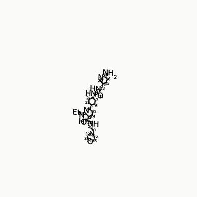 CCNc1nc(-c2ccc(NC(=O)NCc3ccc(N)nc3)cc2)ccc1C(=O)NCCN1CCOCC1